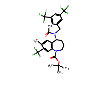 CC(=O)N(Cc1cc(C(F)(F)F)cc(C(F)(F)F)c1)[C@H]1CCCN(C(=O)OC(C)(C)C)c2cc(C(F)(F)F)c(C)cc21